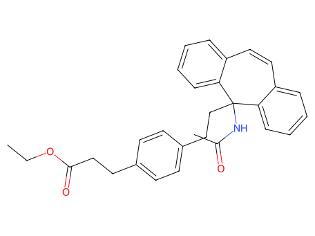 CCOC(=O)CCc1ccc(CCC2(NC(C)=O)c3ccccc3C=Cc3ccccc32)cc1